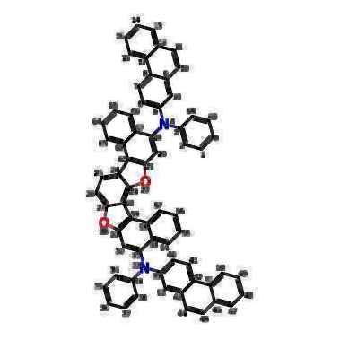 c1ccc(N(c2ccc3c(ccc4ccccc43)c2)c2cc3oc4c(ccc5oc6cc(N(c7ccccc7)c7ccc8c(ccc9ccccc98)c7)c7ccccc7c6c54)c3c3ccccc23)cc1